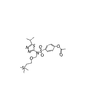 CC(=O)Oc1ccc(S(=O)(=O)N(COCC[Si](C)(C)C)c2nnc(C(C)C)s2)cc1